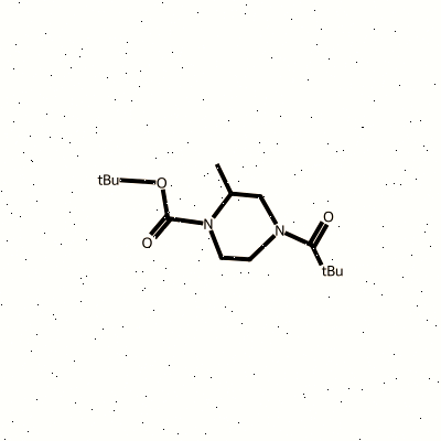 CC1CN(C(=O)C(C)(C)C)CCN1C(=O)OC(C)(C)C